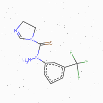 NN(C(=S)N1C=NCC1)c1cccc(C(F)(F)F)c1